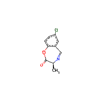 C[C@@H]1N=Cc2cc(Cl)ccc2OC1=O